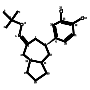 CC(C)(C)ON=C1C[C@H](c2ccc(Cl)c(Cl)c2)CC2CCCN2C1